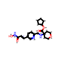 O=C(/C=C/c1ccc(CNC2(C(=O)OC3CCCC3)CCOCC2)nc1)NO